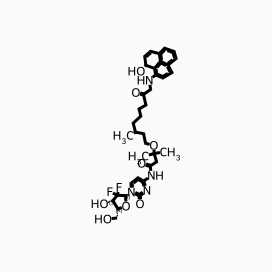 CC(CCCCC(=O)CNc1ccc2cccc3c2c1C(O)C=C3)CCOC(C)(C)CC(=O)Nc1ccn([C@@H]2O[C@H](CO)[C@H](O)C2(F)F)c(=O)n1